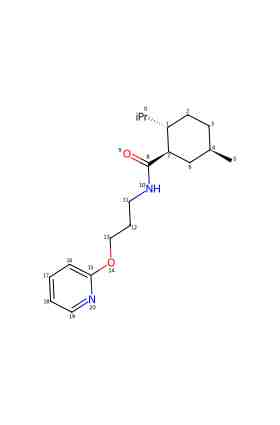 CC(C)[C@@H]1CC[C@@H](C)C[C@H]1C(=O)NCCCOc1ccccn1